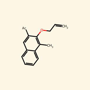 C=CCOc1c(C(C)=O)cc2ccccc2c1C